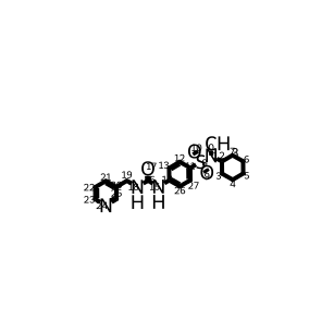 CN(C1CCCCC1)S(=O)(=O)c1ccc(NC(=O)NCc2cccnc2)cc1